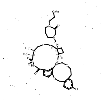 COCCN1CCCN(C[C@H]2CCC[C@H](C)[C@@H](C)S(=O)(=O)NC(=O)c3ccc4c(c3)N(CCCCc3cc(Cl)ccc3CO4)C[C@@H]3CC[C@@H]23)CC1=O